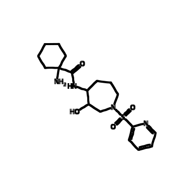 NC1(C(=O)NC2CCCN(S(=O)(=O)c3ccccn3)CC2O)CCCCC1